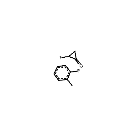 Cc1ccccc1F.O=C1CC1F